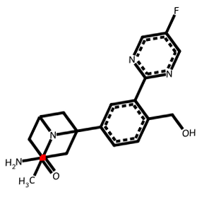 CC1CC2CC(c3ccc(CO)c(-c4ncc(F)cn4)c3)(C1)N2C(N)=O